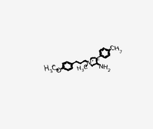 COc1ccc(CCC[N+]2(C)CC(N)[C@H](c3ccc(C)cc3)C2)cc1